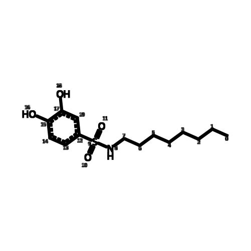 CCCCCCCCNS(=O)(=O)c1ccc(O)c(O)c1